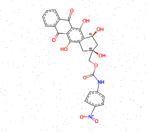 O=C(Nc1ccc([N+](=O)[O-])cc1)OC[C@]1(O)Cc2c(O)c3c(c(O)c2[C@@H](O)C1)C(=O)c1ccccc1C3=O